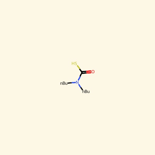 CCCCN(CCCC)C(=O)S